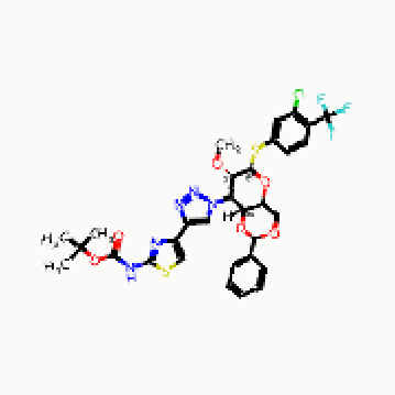 CO[C@H]1C(n2cc(-c3csc(NC(=O)OC(C)(C)C)n3)nn2)[C@H]2OC(c3ccccc3)OCC2O[C@@H]1Sc1ccc(C(F)(F)F)c(Cl)c1